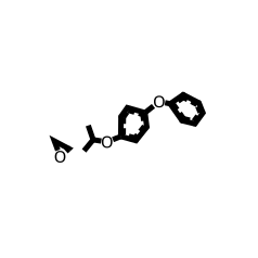 C1CO1.CC(C)Oc1ccc(Oc2ccccc2)cc1